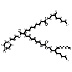 C=C=C=C=CC(CCCCC)CCOC(=O)CCCCCCCC(CCCCCCCC(=O)OCCC(C)CCCCC)C(=O)OCCCN1CCN(C)CC1